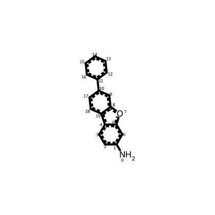 Nc1ccc2c(c1)oc1cc(-c3ccccc3)ccc12